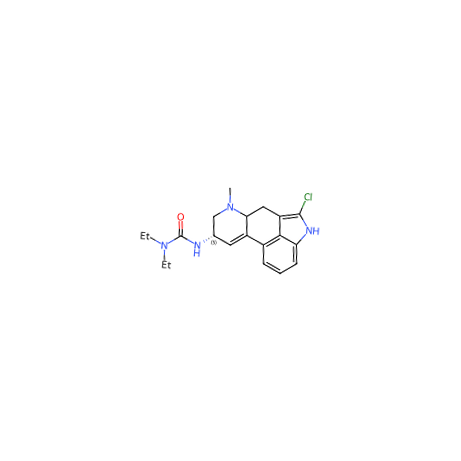 CCN(CC)C(=O)N[C@H]1C=C2c3cccc4[nH]c(Cl)c(c34)CC2N(C)C1